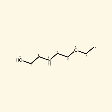 CCOCCNC[CH]O